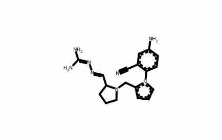 N#Cc1cc(N)ccc1-n1cccc1CN1CCCC1/C=N/N=C(N)N